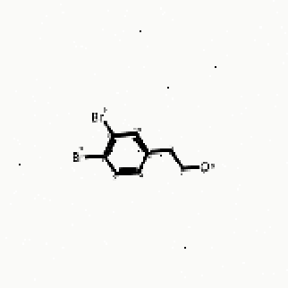 [O]CCc1ccc(Br)c(Br)c1